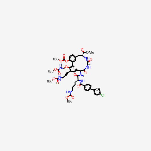 COC(=O)[C@@H]1Cc2ccc(OC(=O)OC(C)(C)C)c(c2)-c2cc(cc(C#CCNC(=O)OC(C)(C)C)c2OCNC(=O)OC(C)(C)C)[C@H](N(C)C(=O)[C@H](CCCCNC(=O)OC(C)(C)C)NC(=O)c2ccc(-c3ccc(Cl)cc3)cc2)C(=O)N[C@@H](C)C(=O)N1